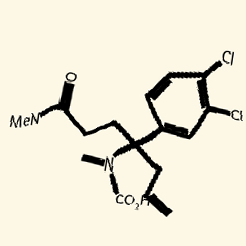 C=CCC(CCC(=O)NC)(c1ccc(Cl)c(Cl)c1)N(C)C(=O)O